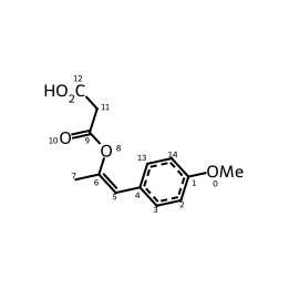 COc1ccc(C=C(C)OC(=O)CC(=O)O)cc1